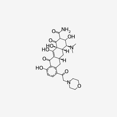 CN(C)[C@@H]1C(O)C(C(N)=O)C(=O)[C@@]2(O)C(O)=C3C(=O)c4c(O)ccc(C(=O)CN5CCOCC5)c4C[C@H]3C[C@@H]12